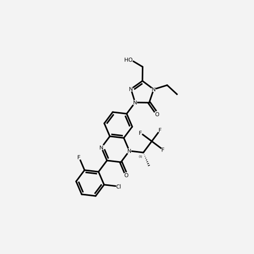 CCn1c(CO)nn(-c2ccc3nc(-c4c(F)cccc4Cl)c(=O)n([C@@H](C)C(F)(F)F)c3c2)c1=O